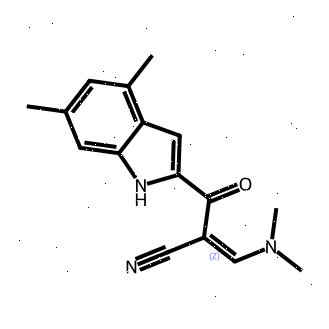 Cc1cc(C)c2cc(C(=O)/C(C#N)=C\N(C)C)[nH]c2c1